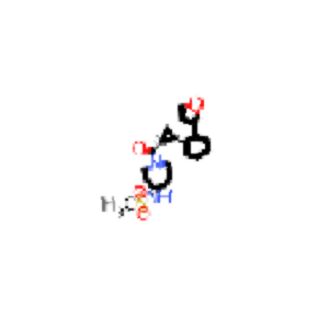 CS(=O)(=O)N[C@H]1CCCN(C(=O)[C@@H]2C[C@H]2c2ccccc2-c2ccoc2)CC1